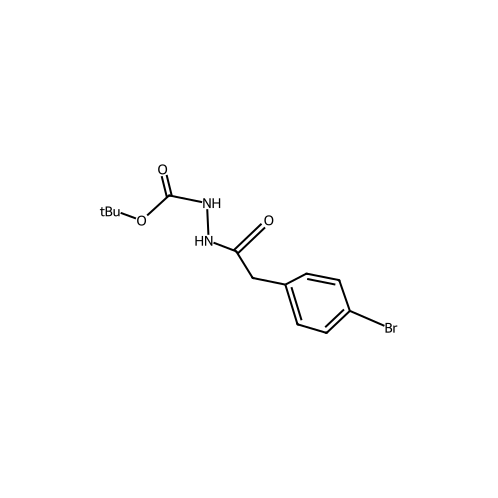 CC(C)(C)OC(=O)NNC(=O)Cc1ccc(Br)cc1